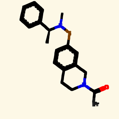 CC(C)C(=O)N1CCc2ccc(SN(C)[C@@H](C)c3ccccc3)cc2C1